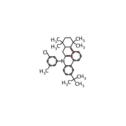 Cc1cc(Cl)cc(N(C2=CC=C3C(C2)C(C)(C)CCC3(C)C)c2ccc(C(C)(C)C)cc2-c2ccccc2)c1